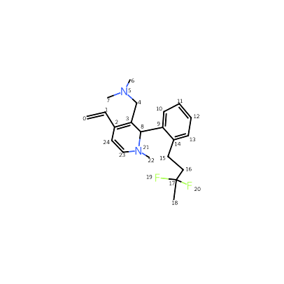 C=CC1=C(CN(C)C)C(c2ccccc2CCC(C)(F)F)N(C)C=C1